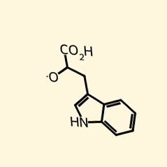 [O]C(Cc1c[nH]c2ccccc12)C(=O)O